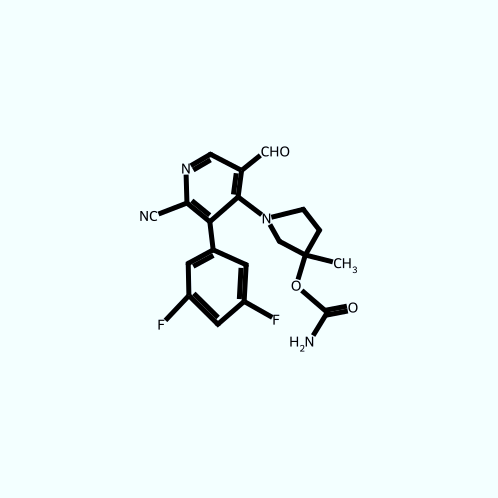 CC1(OC(N)=O)CCN(c2c(C=O)cnc(C#N)c2-c2cc(F)cc(F)c2)C1